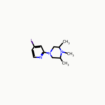 CC1CN(c2cc(I)ccn2)CC(C)N1C